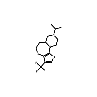 CC(C)N1CCN2c3occ(C(F)(F)F)c3OCCC2C1